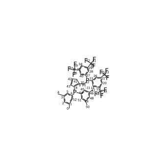 Cc1cc(C)cc(P(C2=C([C@@H](C)P(c3cc(C(F)(F)F)cc(C(F)(F)F)c3)c3cc(C(F)(F)F)cc(C(F)(F)F)c3)CC=C2)c2cc(C)cc(C)c2)c1